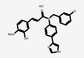 COc1ccc(/C=C/C(=O)N(Cc2cccc(Cl)c2)c2ccc(-c3c[nH]cn3)cc2)cc1O.Cl